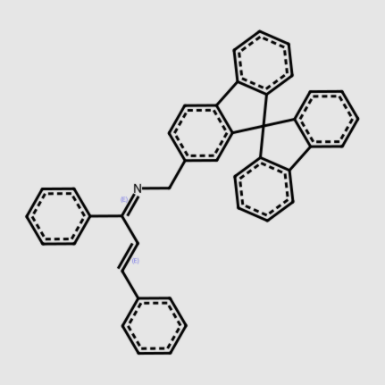 C(=C\c1ccccc1)/C(=N\Cc1ccc2c(c1)C1(c3ccccc3-c3ccccc31)c1ccccc1-2)c1ccccc1